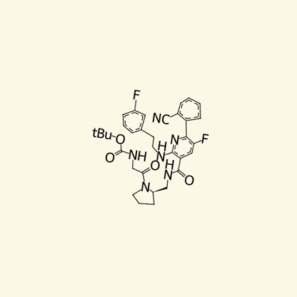 CC(C)(C)OC(=O)NCC(=O)N1CCC[C@@H]1CNC(=O)c1cc(F)c(-c2ccccc2C#N)nc1NCCc1cccc(F)c1